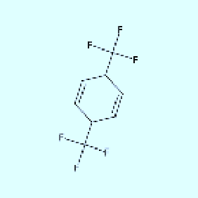 FC(F)(F)C1C=CC(C(F)(F)F)C=C1